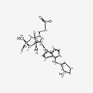 O=[N+]([O-])OC[C@H]1O[C@@H](n2cnc3c(N[C@H]4CCC[C@@H]4O)ncnc32)[C@@H]2OP(=O)(O)O[C@@H]21